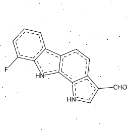 O=Cc1c[nH]c2c1ccc1c3cccc(F)c3[nH]c12